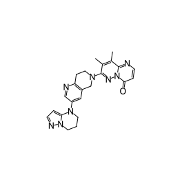 Cc1c(N2CCc3ncc(N4CCCn5nccc54)cc3C2)nn2c(=O)ccnc2c1C